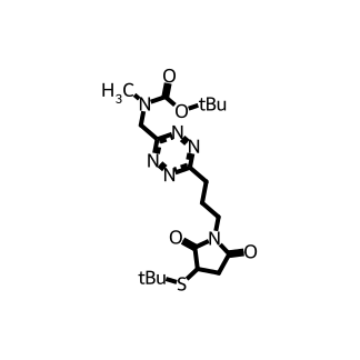 CN(Cc1nnc(CCCN2C(=O)CC(SC(C)(C)C)C2=O)nn1)C(=O)OC(C)(C)C